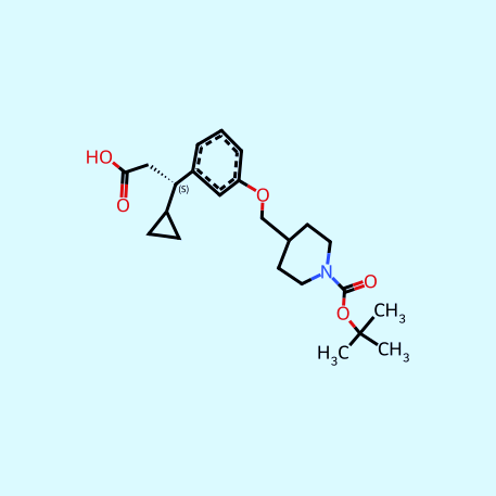 CC(C)(C)OC(=O)N1CCC(COc2cccc([C@@H](CC(=O)O)C3CC3)c2)CC1